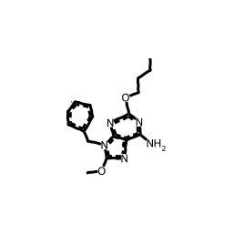 CCCCOc1nc(N)c2nc(OC)n(Cc3cc[c]cc3)c2n1